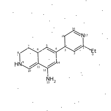 CCC1=CC(C2=CC3CCNC=C3C(N)=C2)CC=N1